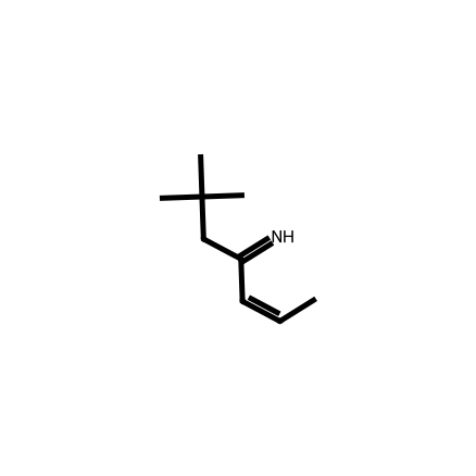 C/C=C\C(=N)CC(C)(C)C